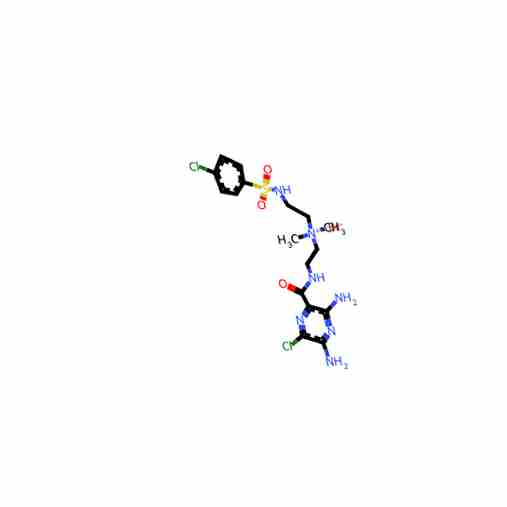 C[N+](C)(CCNC(=O)c1nc(Cl)c(N)nc1N)CCNS(=O)(=O)c1ccc(Cl)cc1.[Br-]